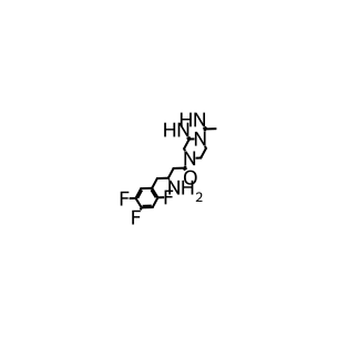 CC(=N)N1CCN(C(=O)C[C@H](N)Cc2cc(F)c(F)cc2F)CC1=N